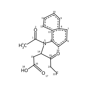 CC(=O)N(c1cccc2ccccc12)C(CC(=O)O)C(=O)CF